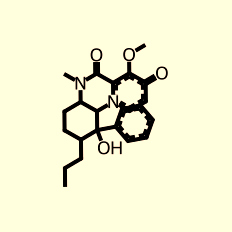 CCCC1CCC2C(n3ccc(=O)c(OC)c3C(=O)N2C)C1(O)c1ccccc1